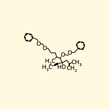 C=C(C)CC(O)(C#CC)C(OCOCc1ccccc1)C(C)CCCOCOCc1ccccc1